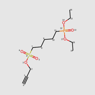 C#CCOS(=O)(=O)CCCCCP(=O)(OCC)OCC